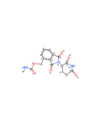 CNC(=O)OCc1cccc2c1C(=O)N(C1CCC(=O)NC1=O)C2=O